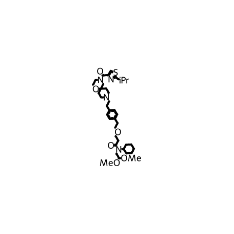 COC(CN(C(=O)CCOCCc1ccc(CCN2CCC3(CC2)CN(C(=O)c2csc(C(C)C)n2)CCO3)cc1)C1CCCCC1)OC